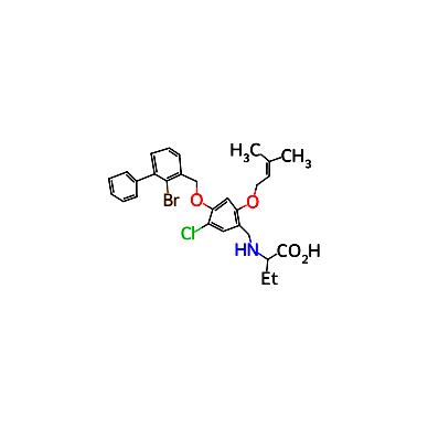 CCC(NCc1cc(Cl)c(OCc2cccc(-c3ccccc3)c2Br)cc1OCC=C(C)C)C(=O)O